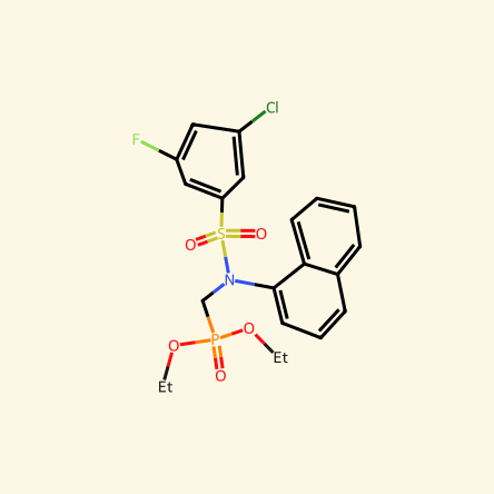 CCOP(=O)(CN(c1cccc2ccccc12)S(=O)(=O)c1cc(F)cc(Cl)c1)OCC